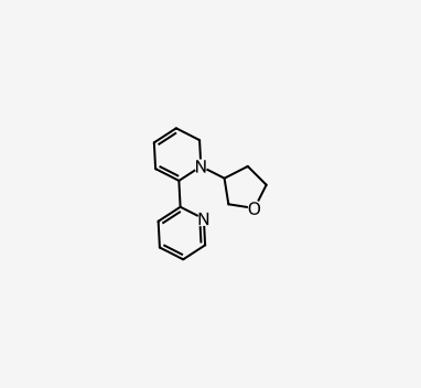 C1=CCN(C2CCOC2)C(c2ccccn2)=C1